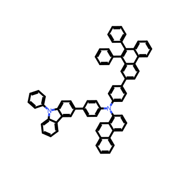 c1ccc(-c2c(-c3ccccc3)c3cc(-c4ccc(N(c5ccc(-c6ccc7c(c6)c6ccccc6n7-c6ccccc6)cc5)c5cccc6c5ccc5ccccc56)cc4)ccc3c3ccccc23)cc1